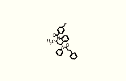 C[C@@H]1C[C@H](N(C(=O)CCc2ccccc2)c2ccccc2)c2ccccc2N1C(=O)c1ccc(F)cc1